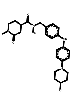 CN1CCC(C(=O)N(O)Cc2ccc(Nc3ccc(N4CCC(C(F)(F)F)CC4)cc3)cc2)CC1=O